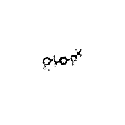 CN1CCCC(NC(=O)c2ccc(N3C=C(C(F)(F)F)ON3)cc2)C1